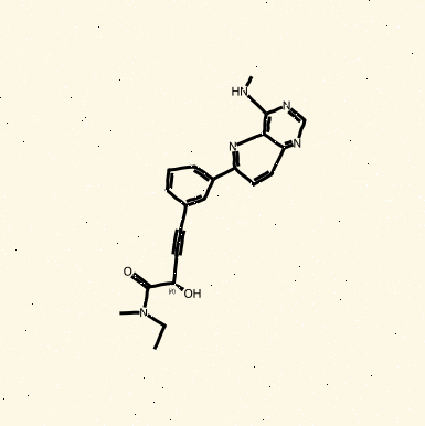 CCN(C)C(=O)[C@H](O)C#Cc1cccc(-c2ccc3ncnc(NC)c3n2)c1